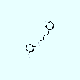 OC(CCc1cccnc1)COc1cccc(Br)c1